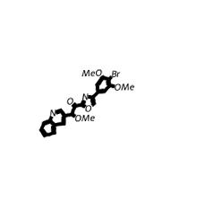 COc1cc(-c2coc(C(=O)C(OC)c3cnc4ccccc4c3)n2)cc(OC)c1Br